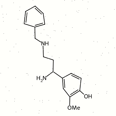 COc1cc(C(N)CCNCc2ccccc2)ccc1O